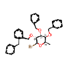 C[C@H]1OC(Br)[C@H](OCc2ccccc2Cc2ccccc2)[C@@H](OCc2ccccc2)[C@H]1OCc1ccccc1